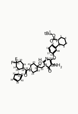 CC(C)(C)OC(=O)N1CCCCC1c1cccc(Oc2ncn(CC3(O)CCN(C(=O)[C@@H]4CCC(F)(F)C[C@H]4c4ccccc4)CC3)c(=O)c2N)c1